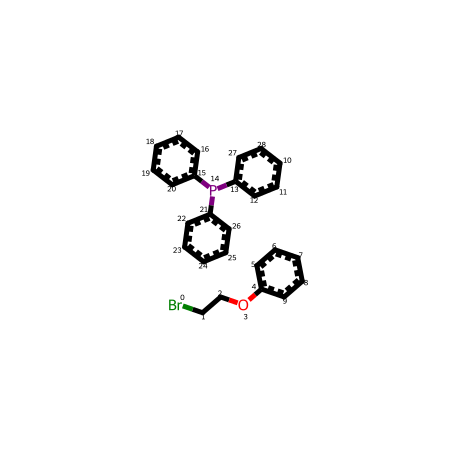 BrCCOc1ccccc1.c1ccc(P(c2ccccc2)c2ccccc2)cc1